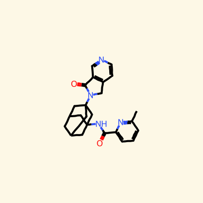 Cc1cccc(C(=O)NC23CC4CC(C2)CC(N2Cc5ccncc5C2=O)(C4)C3)n1